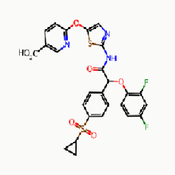 O=C(O)c1ccc(Oc2cnc(NC(=O)C(Oc3ccc(F)cc3F)c3ccc(S(=O)(=O)C4CC4)cc3)s2)nc1